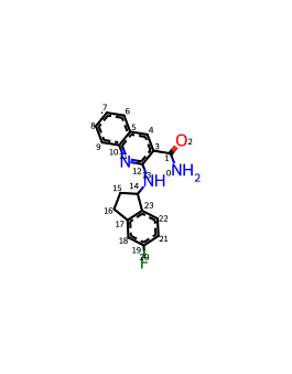 NC(=O)c1cc2c[c]ccc2nc1NC1CCc2cc(F)ccc21